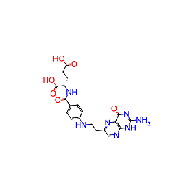 Nc1nc(=O)c2nc(CCNc3ccc(C(=O)N[C@@H](CCC(=O)O)C(=O)O)cc3)cnc2[nH]1